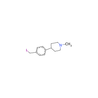 CN1CCC(c2ccc(CI)cc2)CC1